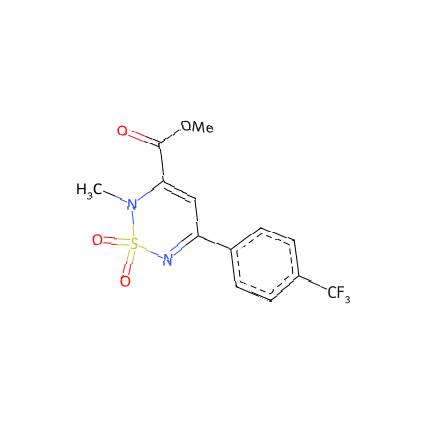 COC(=O)C1=CC(c2ccc(C(F)(F)F)cc2)=NS(=O)(=O)N1C